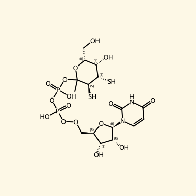 CC1(OP(=O)(O)OP(=O)(O)OOC[C@H]2O[C@@H](n3ccc(=O)[nH]c3=O)[C@H](O)[C@@H]2O)O[C@H](CO)[C@H](O)[C@H](S)[C@H]1S